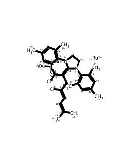 CCCCP(CCCC)C(Cl)C(CC(Cl)=CC=C(C)C)=C1N(c2c(C)cc(C)cc2C)CCN1c1c(C)cc(C)cc1C.[Ru+2]